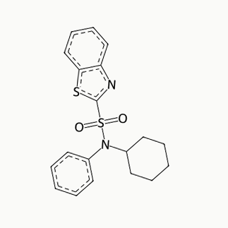 O=S(=O)(c1nc2ccccc2s1)N(c1ccccc1)C1CCCCC1